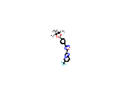 CC1(C)OB(c2ccc(-c3noc(-c4cn5cc(C(F)(F)F)ccc5n4)n3)cc2)OC1(C)C